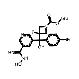 CC(C)c1ccc(C(O)(c2cncc(C(=N)NO)c2)C2(F)CN(C(=O)OC(C)(C)C)C2)cc1